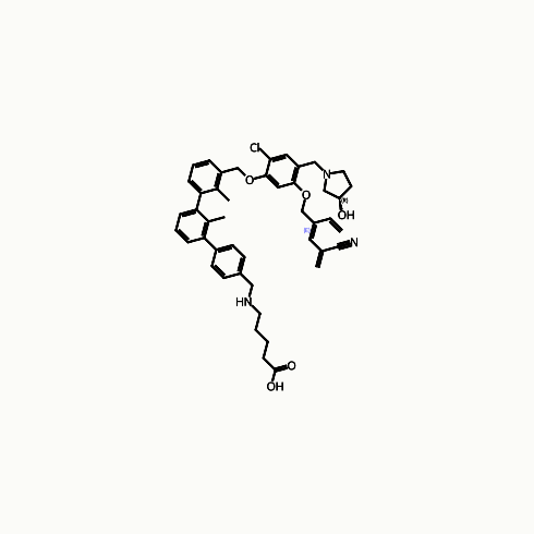 C=C/C(=C\C(=C)C#N)COc1cc(OCc2cccc(-c3cccc(-c4ccc(CNCCCCC(=O)O)cc4)c3C)c2C)c(Cl)cc1CN1CC[C@@H](O)C1